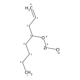 C=CCC(CCCC)[O][Zr][Cl]